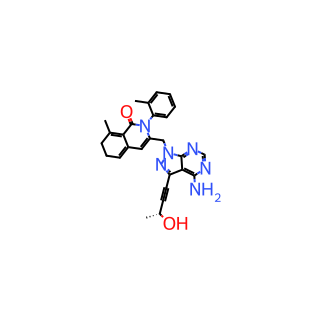 CC1=c2c(cc(Cn3nc(C#C[C@@H](C)O)c4c(N)ncnc43)n(-c3ccccc3C)c2=O)=CCC1